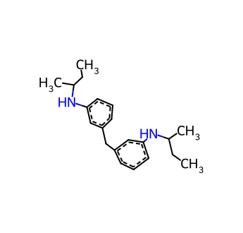 CCC(C)Nc1cccc(Cc2cccc(NC(C)CC)c2)c1